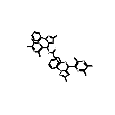 Cc1cc(C(OC(=O)CCC(=O)OC(c2nc(C)c(C)nc2C)c2cc(C)nn2-c2ccccc2)c2nc(C)c(C)nc2C)n(-c2ccccc2)n1